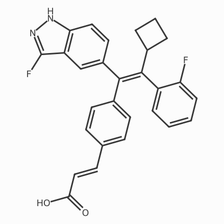 O=C(O)/C=C/c1ccc(/C(=C(\c2ccccc2F)C2CCC2)c2ccc3[nH]nc(F)c3c2)cc1